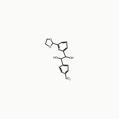 O=[N+]([O-])c1ccc(C(O)C(O)c2cccc(C3OCCO3)n2)cc1